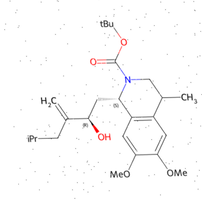 C=C(CC(C)C)[C@H](O)C[C@H]1c2cc(OC)c(OC)cc2C(C)CN1C(=O)OC(C)(C)C